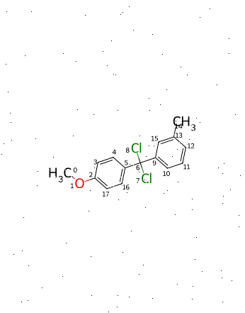 COc1ccc(C(Cl)(Cl)c2cccc(C)c2)cc1